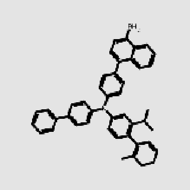 Bc1ccc(-c2ccc(N(c3ccc(-c4ccccc4)cc3)c3ccc(C4=C(C)CCC=C4)c(C(C)C)c3)cc2)c2ccccc12